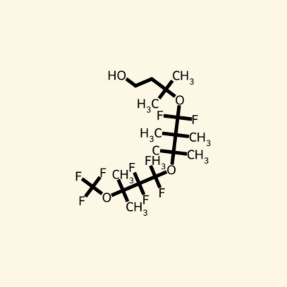 CC(C)(CCO)OC(F)(F)C(C)(C)C(C)(C)OC(F)(F)C(F)(F)C(C)(C)OC(F)(F)F